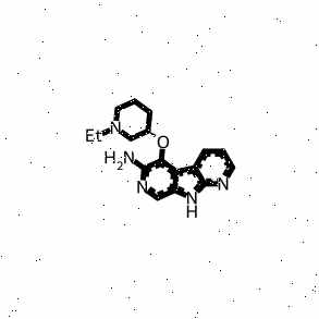 CCN1CCC[C@H](Oc2c(N)ncc3[nH]c4ncccc4c23)C1